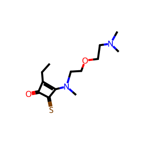 CCc1c(N(C)CCOCCN(C)C)c(=S)c1=O